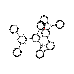 c1ccc(-c2cc(-c3nc(-c4ccccc4)nc(-c4ccccc4)n3)cc(-n3c4ccccc4c4cccc(-c5ccc6c7ccccc7n(-c7ccccc7)c6c5)c43)c2)cc1